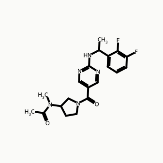 CC(=O)N(C)C1CCN(C(=O)c2cnc(NC(C)c3cccc(F)c3F)nc2)C1